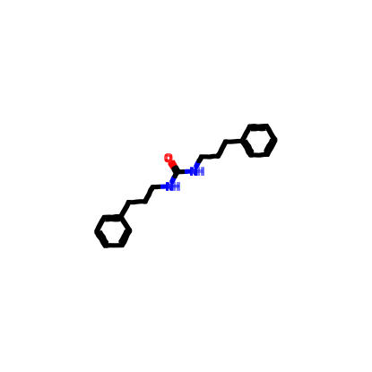 O=C(NCCCc1ccccc1)NCCCc1ccccc1